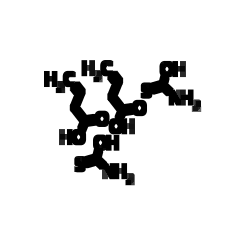 C=CCC(=O)O.C=CCC(=O)O.NC(O)=S.NC(O)=S